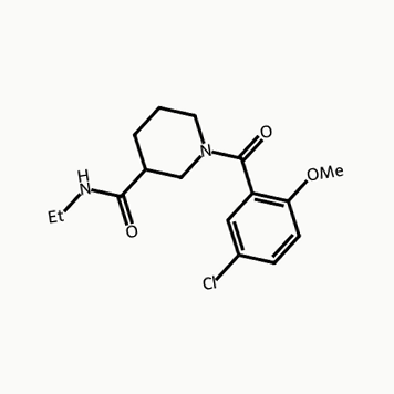 CCNC(=O)C1CCCN(C(=O)c2cc(Cl)ccc2OC)C1